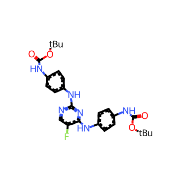 CC(C)(C)OC(=O)Nc1ccc(Nc2ncc(F)c(Nc3ccc(NC(=O)OC(C)(C)C)cc3)n2)cc1